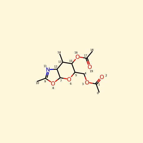 CC(=O)OCC1OC2OC(C)=NC2C(C)C1OC(C)=O